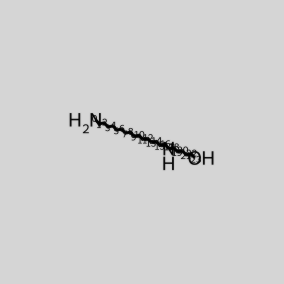 NCCCCCCCCCCCCCCCCNCCCCCO